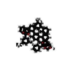 N#Cc1c(-n2c3ccccc3c3cc(C(F)(F)F)ccc32)c(-c2cccc3c2sc2ccccc23)c(-n2c3ccccc3c3cc(C(F)(F)F)ccc32)c(-c2cccc3c2sc2ccccc23)c1-n1c2ccccc2c2cc(C(F)(F)F)ccc21